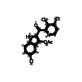 CCc1ccnc(C(=O)c2[nH]c3ccc(Cl)cc3c2OC(C)=O)c1Cl